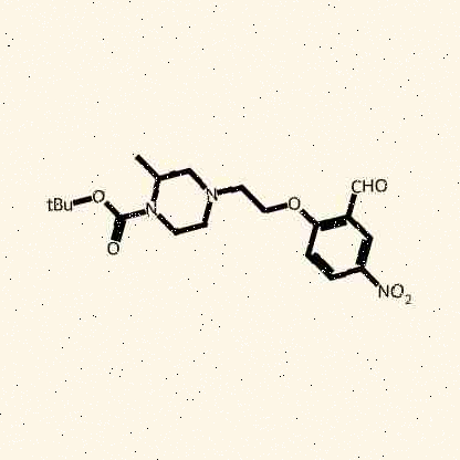 CC1CN(CCOc2ccc([N+](=O)[O-])cc2C=O)CCN1C(=O)OC(C)(C)C